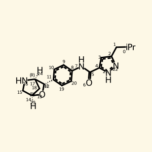 CC(C)Cc1cc(C(=O)Nc2ccc([C@@H]3O[C@H]4CN[C@@H]3C4)cc2)[nH]n1